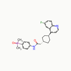 CP(C)(=O)c1ccc(NC(=O)C[C@H]2CC[C@H](c3ccnc4ccc(F)cc43)CC2)cc1